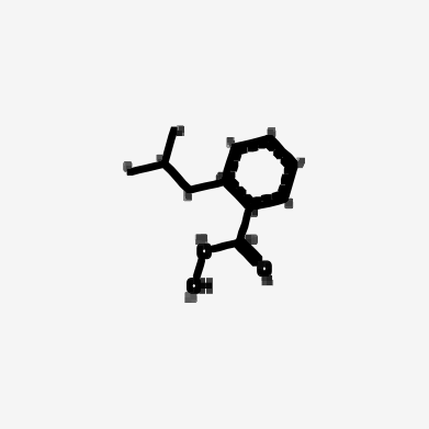 CC(C)Cc1ccccc1C(=O)OO